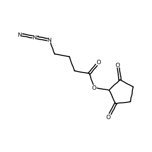 [N-]=[N+]=NCCCC(=O)OC1C(=O)CCC1=O